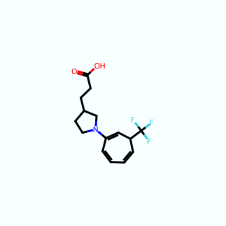 O=C(O)CCC1CCN(C2=CC(C(F)(F)F)C=CC=C2)C1